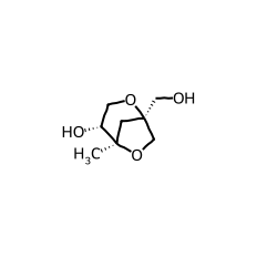 C[C@]12C[C@](CO)(CO1)OC[C@H]2O